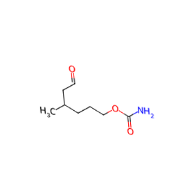 CC(CC=O)CCCOC(N)=O